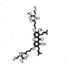 COC(=O)[C@@H](CCSC)NC(=O)CCCOc1cc2oc3cc(OCCCC(=O)N[C@H](CCSC)C(=O)OC)c(OC)c(CC=C(C)C)c3c(=O)c2c(O)c1CC=C(C)C